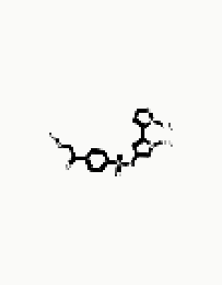 CC(=O)SCC(=O)c1ccc(S(=O)(=O)Nc2cc(-c3ccnn3C)n(C)c2)cc1